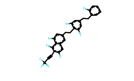 Fc1ccccc1CCc1cc(F)c(CCc2cc(F)c3c(F)c(C#CC(F)(F)F)c(F)cc3c2)c(F)c1